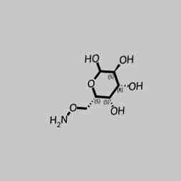 NOC[C@@H]1OC(O)[C@@H](O)[C@H](O)[C@@H]1O